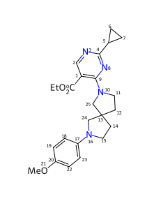 CCOC(=O)c1cnc(C2CC2)nc1N1CCC2(CCN(c3ccc(OC)cc3)C2)C1